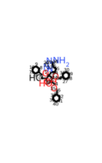 C#CC(O)[C@](OCc1ccccc1)(c1ccc2c(N)ncnn12)[C@H](OCc1ccccc1)[C@H](O)COCc1ccccc1